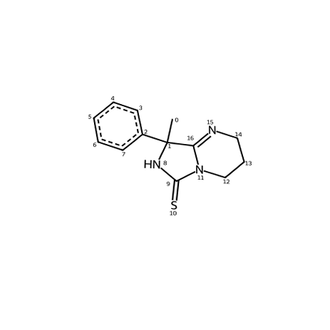 CC1(c2ccccc2)NC(=S)N2CCCN=C21